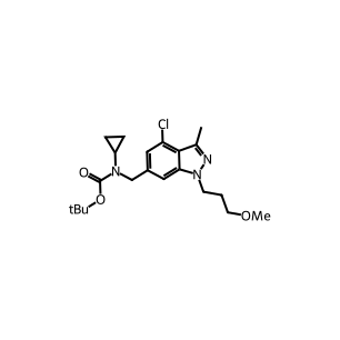 COCCCn1nc(C)c2c(Cl)cc(CN(C(=O)OC(C)(C)C)C3CC3)cc21